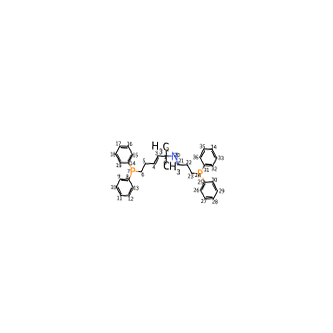 CC(C)(C=CCCP(c1ccccc1)c1ccccc1)N=CCCP(c1ccccc1)c1ccccc1